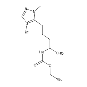 CC(C)S1=C(CCCC(C=O)NC(=O)OCC(C)(C)C)N(C)N=C1